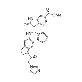 COC(=O)c1ccc2c(c1)NC(=O)/C2=C(\Nc1ccc2c(c1)CCN2C(=O)Cn1cncn1)c1ccccc1